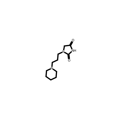 O=C1[CH]N(CCCN2CCCCC2)C(=O)N1